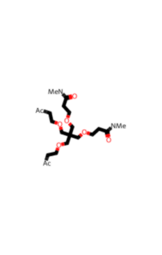 CNC(=O)CCOCC(COCCC(C)=O)(COCCC(C)=O)COCCC(=O)NC